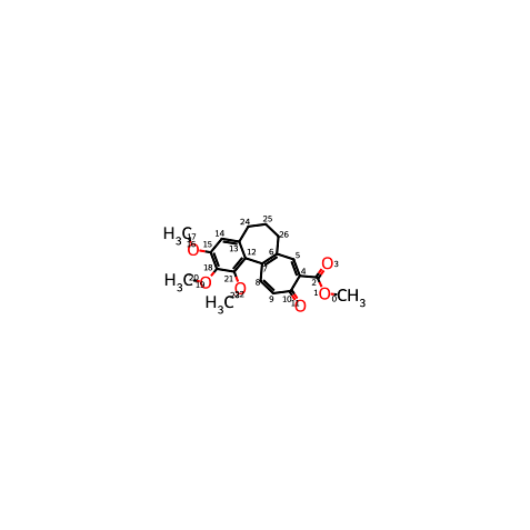 COC(=O)c1cc2c(ccc1=O)-c1c(cc(OC)c(OC)c1OC)CCC2